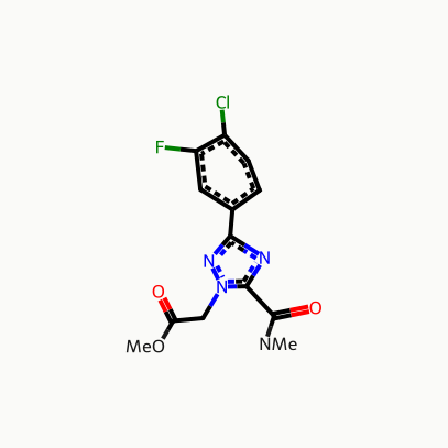 CNC(=O)c1nc(-c2ccc(Cl)c(F)c2)nn1CC(=O)OC